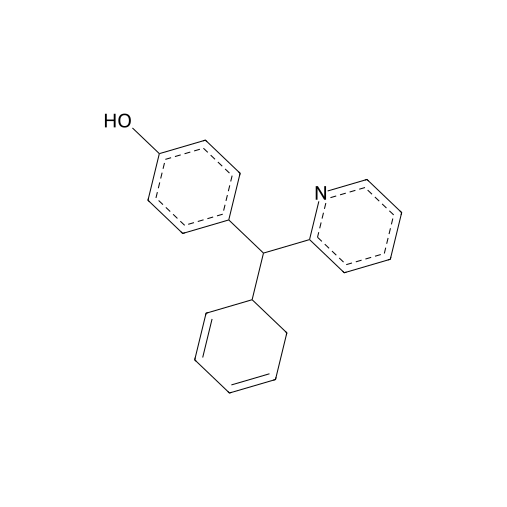 Oc1ccc(C(c2ccccn2)C2C=CC=CC2)cc1